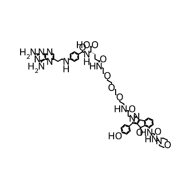 Nc1nc(N)c2nc(CCNc3ccc(C(=O)N[C@@H](CCC(=O)NCCOCCOCCOCCNC(=O)Cn4nc5c(c4-c4ccc(O)cc4)C(=O)c4c(NC(=O)NN6CCOCC6)cccc4-5)C(=O)O)cc3)cnc2n1